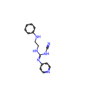 N#CNC(=Nc1ccncc1)NCCNc1ccccc1